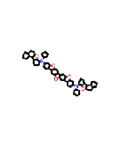 c1ccc(N(c2ccc3c(c2)oc2cc4c(cc23)oc2cc3c(cc24)oc2cc(N(c4ccccc4)c4cccc5c4oc4ccc6ccccc6c45)ccc23)c2cccc3c2oc2ccc4ccccc4c23)cc1